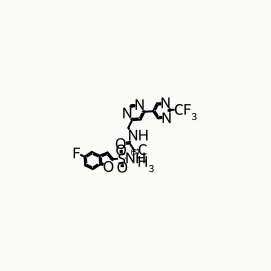 C[C@H](NS(=O)(=O)c1cc2cc(F)ccc2o1)C(=O)NCc1cc(-c2cnc(C(F)(F)F)nc2)ncn1